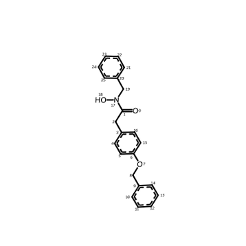 O=C(Cc1ccc(OCc2ccccc2)cc1)N(O)Cc1ccccc1